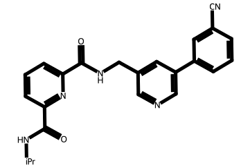 CC(C)NC(=O)c1cccc(C(=O)NCc2cncc(-c3cccc(C#N)c3)c2)n1